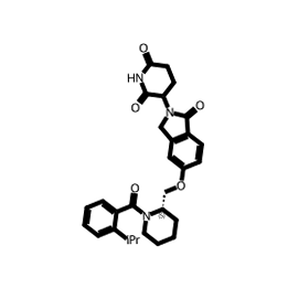 CC(C)c1ccccc1C(=O)N1CCCC[C@H]1COc1ccc2c(c1)CN(C1CCC(=O)NC1=O)C2=O